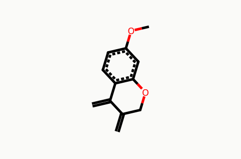 C=C1COc2cc(OC)ccc2C1=C